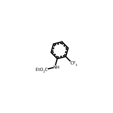 CCOC(=O)Nc1cc[c]cc1C(F)(F)F